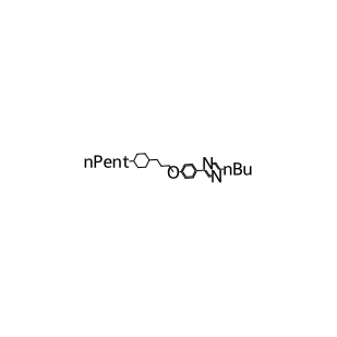 CCCCCC1CCC(CCCOc2ccc(-c3cnc(CCCC)cn3)cc2)CC1